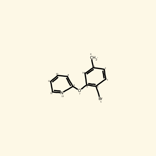 [CH2]c1ccc(Br)c(Oc2ccccn2)c1